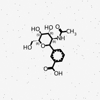 CC(=O)N[C@H]1C(c2cccc(C(=O)O)c2)O[C@H](CO)[C@@H](O)[C@@H]1O